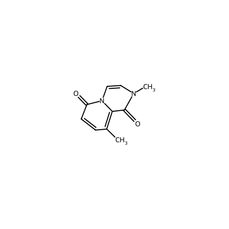 Cc1ccc(=O)n2ccn(C)c(=O)c12